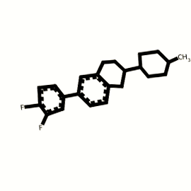 CC1CCC(C2CCc3cc(-c4ccc(F)c(F)c4)ccc3C2)CC1